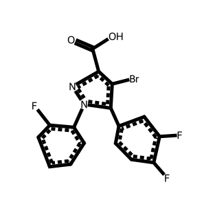 O=C(O)c1nn(-c2ccccc2F)c(-c2ccc(F)c(F)c2)c1Br